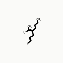 CCCCC(CC=CI)=C(C)C